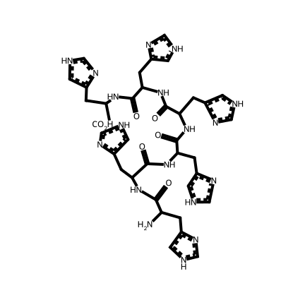 NC(Cc1c[nH]cn1)C(=O)NC(Cc1c[nH]cn1)C(=O)NC(Cc1c[nH]cn1)C(=O)NC(Cc1c[nH]cn1)C(=O)NC(Cc1c[nH]cn1)C(=O)NC(Cc1c[nH]cn1)C(=O)O